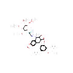 CCCCOC[C@H]1O[C@@H](C(F)(F)CN[C@@H]2c3cc4c(cc3[C@@H](c3cc(OC)c(OCCCC)c(OC)c3)[C@H]3C(=O)OC[C@@H]32)OCO4)[C@H](OCCCC)[C@@H](OCCCC)[C@@H]1OCCCC